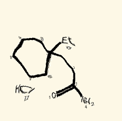 CCC1(CC(N)=O)CCCCC1.Cl